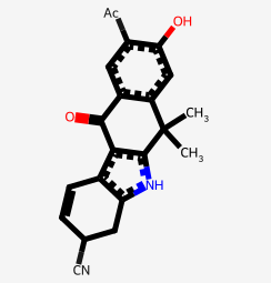 CC(=O)c1cc2c(cc1O)C(C)(C)c1[nH]c3c(c1C2=O)C=CC(C#N)C3